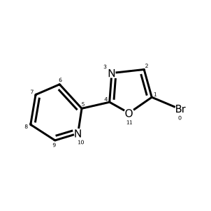 Brc1cnc(-c2ccccn2)o1